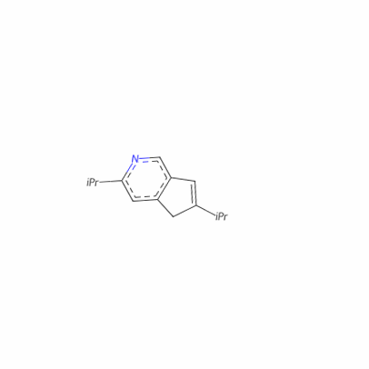 CC(C)C1=Cc2cnc(C(C)C)cc2C1